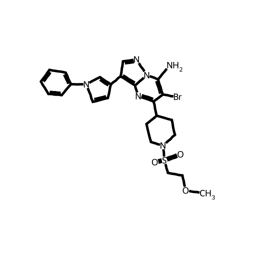 COCCS(=O)(=O)N1CCC(c2nc3c(-c4ccn(-c5ccccc5)c4)cnn3c(N)c2Br)CC1